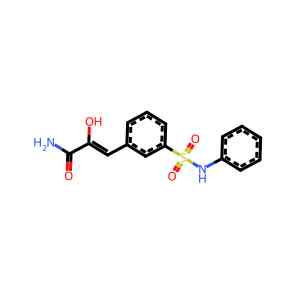 NC(=O)C(O)=Cc1cccc(S(=O)(=O)Nc2ccccc2)c1